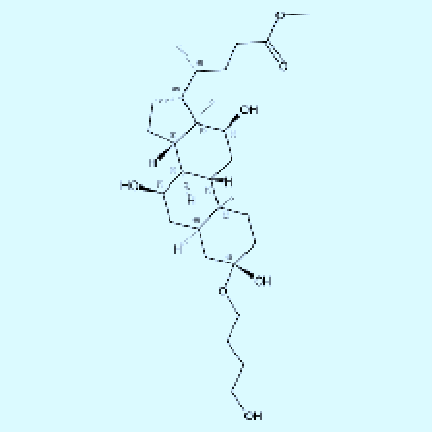 COC(=O)CC[C@@H](C)[C@H]1CC[C@H]2[C@@H]3[C@H](O)C[C@@H]4C[C@@](O)(OCCCCO)CC[C@]4(C)[C@H]3C[C@H](O)[C@]12C